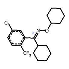 FC(F)(F)c1ccc(Cl)cc1/C(=N/OC1CCCCC1)C1CCCCC1